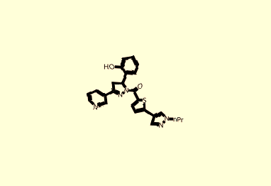 CCCn1cc(-c2ccc(C(=O)N3N=C(c4cccnc4)CC3c3ccccc3O)s2)cn1